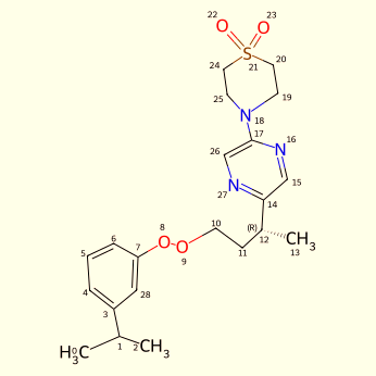 CC(C)c1cccc(OOCC[C@@H](C)c2cnc(N3CCS(=O)(=O)CC3)cn2)c1